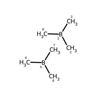 CB(C)C.CB(C)C